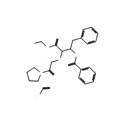 CCOC(=O)C(N[C@@H](C)C(=O)N1CCC[C@H]1C(=O)O)C(Cc1ccccc1)NC(=O)c1ccccc1